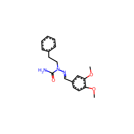 COc1ccc(/C=N/N(CCc2ccccc2)C(N)=O)cc1OC